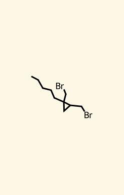 CCCCCC1(CBr)CC1CBr